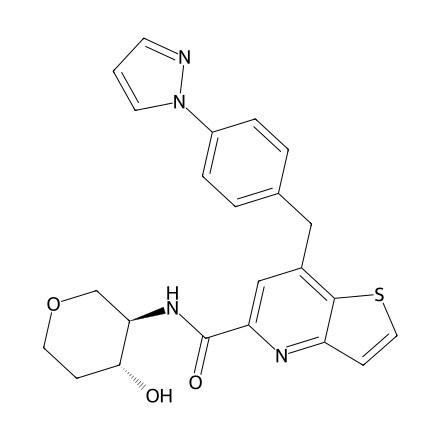 O=C(N[C@@H]1COCC[C@H]1O)c1cc(Cc2ccc(-n3cccn3)cc2)c2sccc2n1